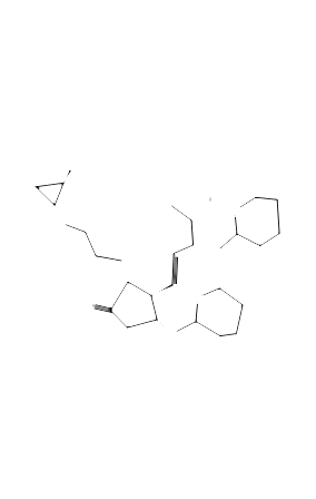 CCCC[C@@H](C)[C@@H](/C=C/[C@H]1[C@H](OC2CCCCO2)CC(=O)[C@@H]1CCCC[C@@H]1C[C@H]1C(=O)O)OC1CCCCO1